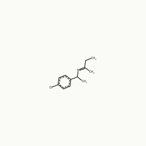 CC/C(C)=N/C(C)c1ccc(Cl)cc1